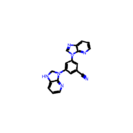 N#Cc1cc(N2CNc3cccnc32)cc(-n2cnc3cccnc32)c1